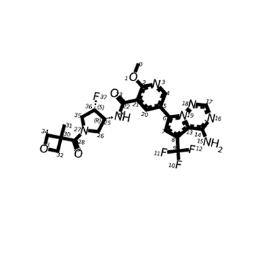 COc1ncc(-c2cc(C(F)(F)F)c3c(N)ncnn23)cc1C(=O)N[C@@H]1CN(C(=O)C2(C)COC2)C[C@@H]1F